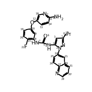 CC(C)c1cc(NC(=O)Nc2cc(Oc3ccc(N)nc3)ccc2F)n(-c2ccc3ncccc3c2)n1